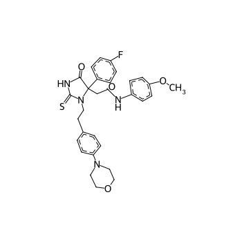 COc1ccc(NC(=O)CC2(c3ccc(F)cc3)C(=O)NC(=S)N2CCc2ccc(N3CCOCC3)cc2)cc1